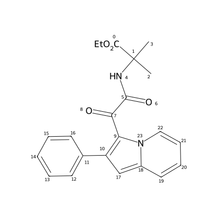 CCOC(=O)C(C)(C)NC(=O)C(=O)c1c(-c2ccccc2)cc2ccccn12